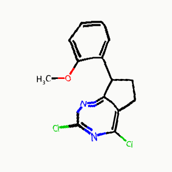 COc1ccccc1C1CCc2c(Cl)nc(Cl)nc21